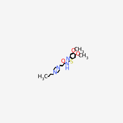 CCCCN1CCN(C=CC(=O)Nc2nc3cc(OC)c(OC)cc3s2)CC1